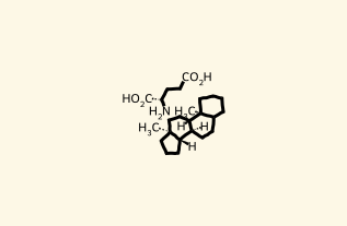 C[C@@]12CCC[C@H]1[C@@H]1CCC3CCCC[C@]3(C)[C@H]1CC2.N[C@@H](CCC(=O)O)C(=O)O